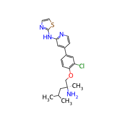 CC(C)C[C@](C)(N)COc1ccc(-c2ccnc(Nc3nccs3)c2)cc1Cl